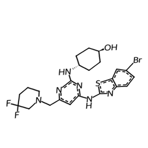 O[C@H]1CC[C@H](Nc2nc(CN3CCCC(F)(F)C3)cc(Nc3nc4ccc(Br)cc4s3)n2)CC1